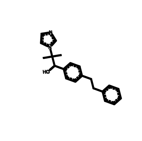 CC(C)(C(O)c1ccc(CCc2ccccc2)cc1)n1ccnc1